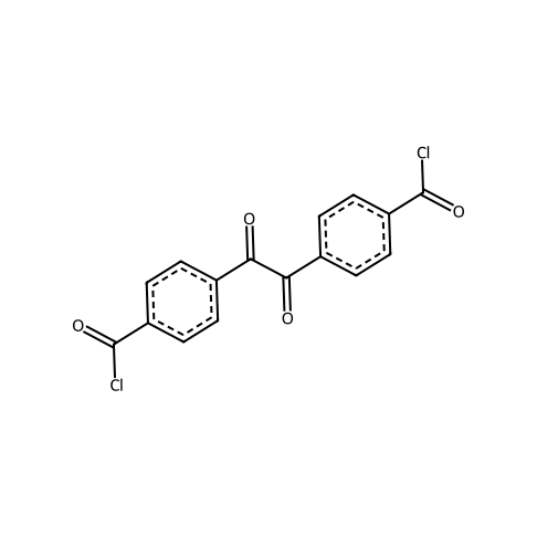 O=C(Cl)c1ccc(C(=O)C(=O)c2ccc(C(=O)Cl)cc2)cc1